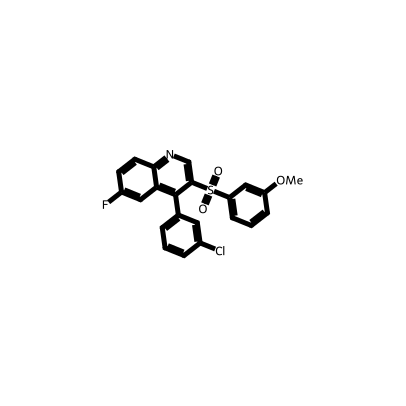 COc1cccc(S(=O)(=O)c2cnc3ccc(F)cc3c2-c2cccc(Cl)c2)c1